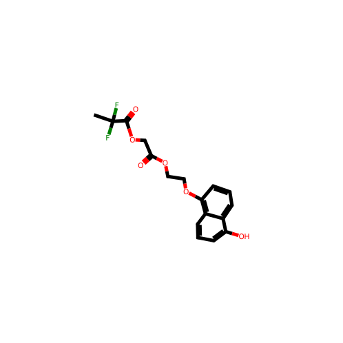 CC(F)(F)C(=O)OCC(=O)OCCOc1cccc2c(O)cccc12